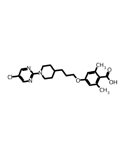 Cc1cc(OCCCC2CCN(c3ncc(Cl)cn3)CC2)cc(C)c1C(=O)O